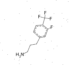 NCCCc1ccc(C(F)(F)F)c(F)c1